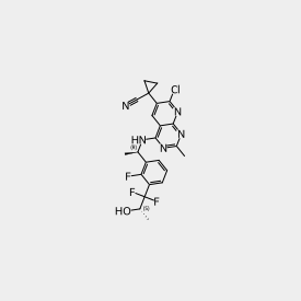 Cc1nc(N[C@H](C)c2cccc(C(F)(F)[C@H](C)O)c2F)c2cc(C3(C#N)CC3)c(Cl)nc2n1